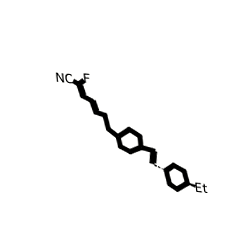 CC[C@H]1CC[C@H](C=CC2CCC(CCC=CC=C(F)C#N)CC2)CC1